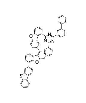 c1ccc(-c2cccc(-c3nc(-c4ccccc4)nc(-c4cccc5oc6ccc(-c7cccc8oc9c(-c%10ccc%11c(c%10)sc%10ccccc%10%11)cccc9c78)cc6c45)n3)c2)cc1